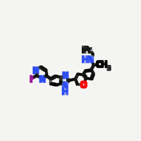 CC(C)CNC(C)c1ccc2c(c1)CC(c1nc3cc(-c4ccnc(I)n4)ccc3[nH]1)CO2